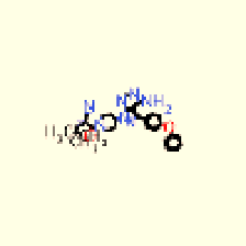 CC(C)(C)/C=C(/C#N)C(=O)N1CCC(n2nc(-c3ccc(Oc4ccccc4)cc3)c3c(N)ncnc32)CC1